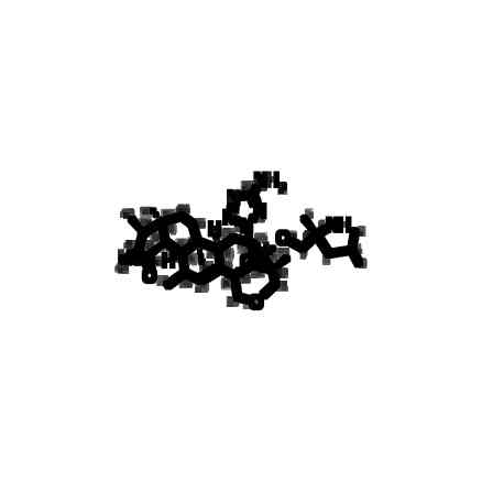 CC(C)C[C@@](C)(N)CO[C@H]1[C@H](n2nnc(N)n2)C[C@@]23COC[C@]1(C)[C@@H]2CC[C@H]1C3=CC(C)[C@H]2[C@@H](C(=O)O)[C@@](C)([C@H](C)C(C)C)CC[C@@]12C